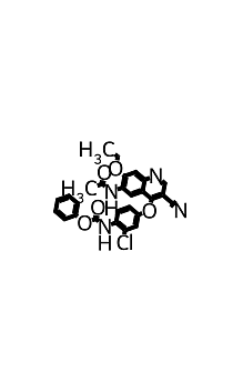 CCOc1cc2ncc(C#N)c(Oc3ccc(NC(=O)Oc4ccccc4)c(Cl)c3)c2cc1NC(C)=O